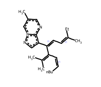 CCCC/C=C\C(=C(C)C)/C(=C\C=C(\C)CC)c1cnn2cc(C)cnc12